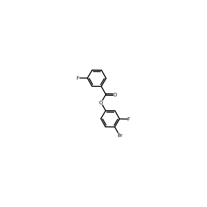 O=C(Oc1ccc(Br)c(F)c1)c1cccc(F)c1